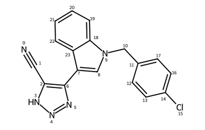 N#Cc1[nH]nnc1-c1cn(Cc2ccc(Cl)cc2)c2ccccc12